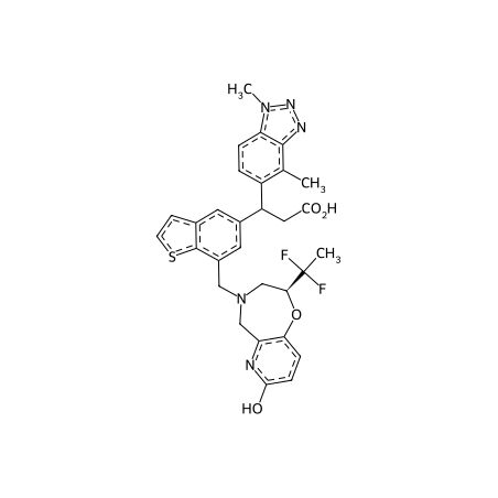 Cc1c(C(CC(=O)O)c2cc(CN3Cc4nc(O)ccc4O[C@H](C(C)(F)F)C3)c3sccc3c2)ccc2c1nnn2C